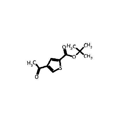 CC(=O)c1csc(C(=O)OC(C)(C)C)c1